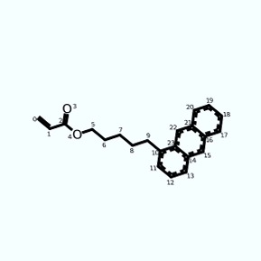 C=CC(=O)OCCCCCc1cccc2cc3ccccc3cc12